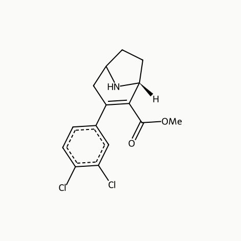 COC(=O)C1=C(c2ccc(Cl)c(Cl)c2)CC2CC[C@H]1N2